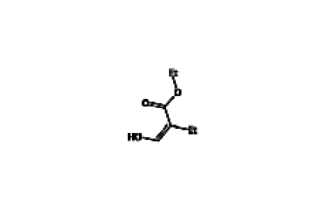 CCOC(=O)/C(=C\O)CC